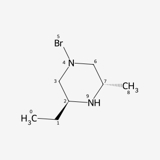 CC[C@H]1CN(Br)C[C@H](C)N1